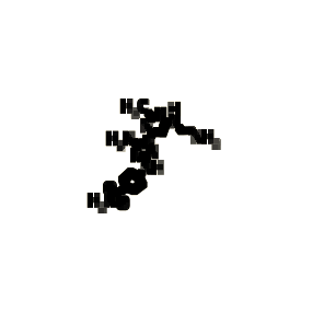 Cc1nc(NCCN)cc(-n2nc(Nc3ccc(S(N)(=O)=O)cc3)nc2N)n1